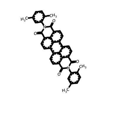 Cc1ccc(C)c(N2C(=O)c3ccc4c5ccc6c7c(ccc(c8ccc(c3c48)C2=O)c75)C(=O)N(c2cc(C)ccc2C)C6=O)c1